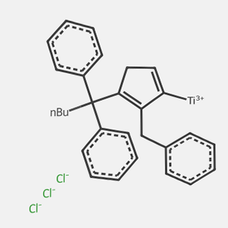 CCCCC(C1=C(Cc2ccccc2)[C]([Ti+3])=CC1)(c1ccccc1)c1ccccc1.[Cl-].[Cl-].[Cl-]